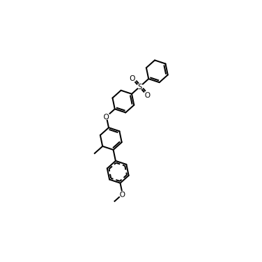 COc1ccc(C2=CC=C(OC3=CC=C(S(=O)(=O)C4=CC=CCC4)CC3)CC2C)cc1